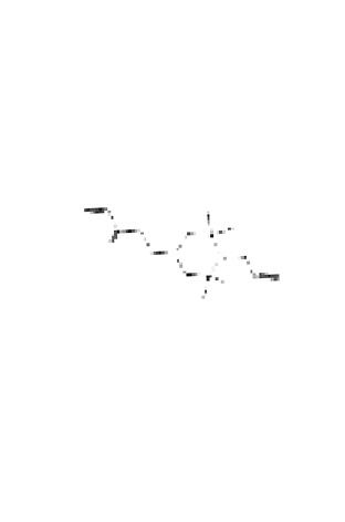 C=CCN1C(C)(C)CC(CCC(=O)C=C)CC1(C)C